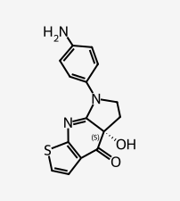 Nc1ccc(N2CC[C@@]3(O)C(=O)c4ccsc4N=C23)cc1